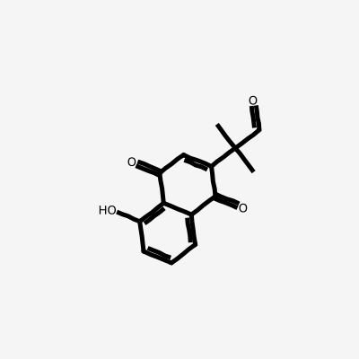 CC(C)(C=O)C1=CC(=O)c2c(O)cccc2C1=O